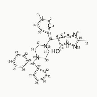 Cc1ccc(C(c2sc3nc(C)nn3c2O)N2CCN(C(c3ccccc3)c3ccccc3)CC2)cc1